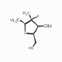 C[C@@H]1O[C@H](CO)C(O)[C@@]1(C)F